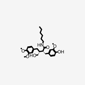 CCCCCCNC(=O)[C@H](Cc1ccc(O)c(OC)c1)[C@H](CO)Cc1ccc(OC)c(OC)c1